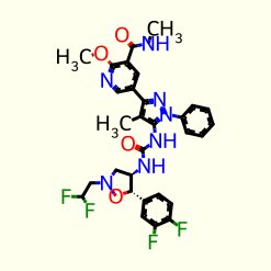 CNC(=O)c1cc(-c2nn(-c3ccccc3)c(NC(=O)N[C@@H]3CN(CC(F)F)O[C@H]3c3ccc(F)c(F)c3)c2C)cnc1OC